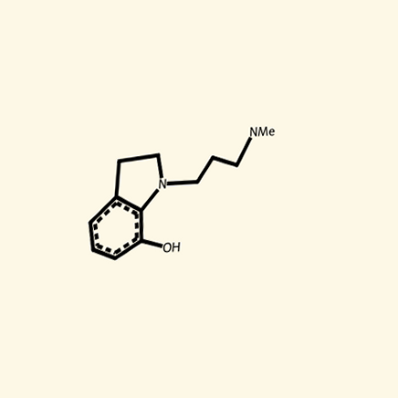 CNCCCN1CCc2cccc(O)c21